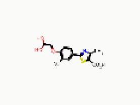 Cc1nc(-c2ccc(OCC(O)O)c(C#N)c2)sc1C(=O)O